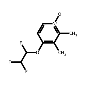 Cc1c(OC(F)C(F)F)cc[n+]([O-])c1C